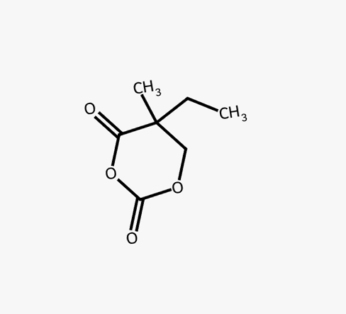 CCC1(C)COC(=O)OC1=O